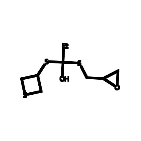 CCC(O)(SCC1CO1)SC1CSC1